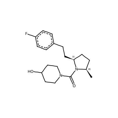 C[C@@H]1CC[C@H](CCc2ccc(F)cc2)N1C(=O)N1CCC(O)CC1